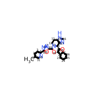 Cc1ccc(-c2nnc(C(=O)N3CCc4[nH]cnc4[C@H]3c3cc4ccccc4o3)o2)nc1